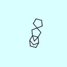 C1CCC2(C1)CC13CC1(C2)C1CCC3C1